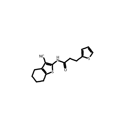 N#Cc1c(NC(=O)CCc2cccs2)sc2c1CCCC2